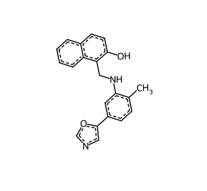 Cc1ccc(-c2cnco2)cc1NCc1c(O)ccc2ccccc12